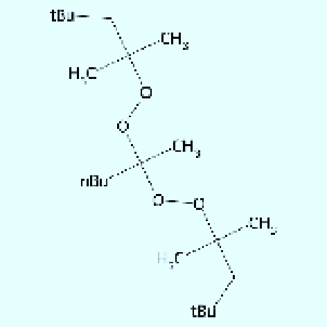 CCCCC(C)(OOC(C)(C)CC(C)(C)C)OOC(C)(C)CC(C)(C)C